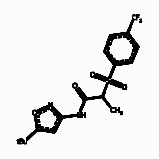 CC(C(=O)Nc1cc(C(C)(C)C)on1)S(=O)(=O)c1ccc(C(F)(F)F)cc1